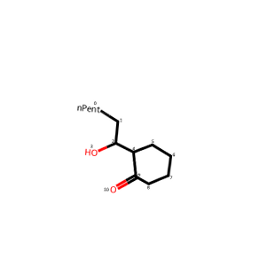 CCCCCCC(O)C1CCCCC1=O